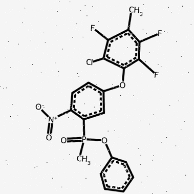 Cc1c(F)c(F)c(Oc2ccc([N+](=O)[O-])c(P(C)(=O)Oc3ccccc3)c2)c(Cl)c1F